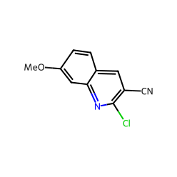 COc1ccc2cc(C#N)c(Cl)nc2c1